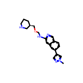 Cn1cc(-c2ccc3cnc(NCOC[C@@H]4CCCNC4)cc3c2)cn1